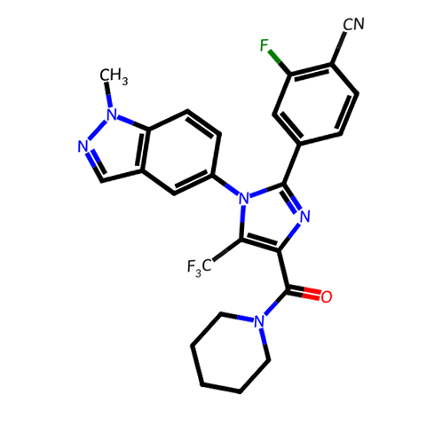 Cn1ncc2cc(-n3c(-c4ccc(C#N)c(F)c4)nc(C(=O)N4CCCCC4)c3C(F)(F)F)ccc21